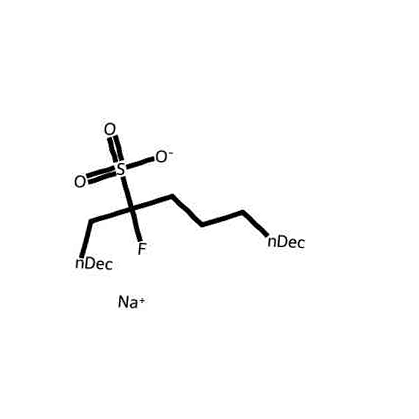 CCCCCCCCCCCCCC(F)(CCCCCCCCCCC)S(=O)(=O)[O-].[Na+]